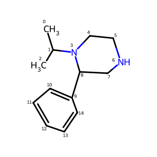 CC(C)N1CCNCC1c1ccccc1